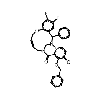 O=C1c2c(OCc3ccccc3)c(=O)ccn2N2CN1C/C=C\COc1cc(F)c(F)cc1C2c1ccccc1